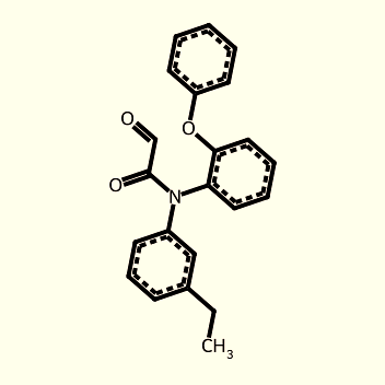 CCc1cccc(N(C(=O)C=O)c2ccccc2Oc2ccccc2)c1